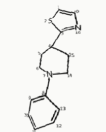 [c]1csc(C2CCN(c3ccccc3)CC2)n1